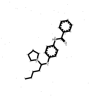 CCCCC(Oc1ccc(NC(=O)c2ccccc2)cc1)N1CCCC1